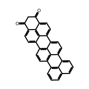 O=C1CC(=O)c2ccc3c4ccc5c6cccc7cccc(c8ccc(c9ccc1c2c93)c4c85)c76